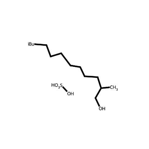 CCC(C)CCCCCCCC(C)CO.O=S(=O)(O)O